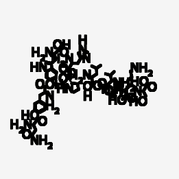 CC(C)C[C@H](N)C(=O)O.CC(C)[C@H](N)C(=O)O.NC(=O)C[C@H](N)C(=O)O.NCCCC[C@H](N)C(=O)O.N[C@@H](CO)C(=O)O.N[C@@H](Cc1c[nH]c2ccccc12)C(=O)O.N[C@@H](Cc1c[nH]cn1)C(=O)OC(=O)[C@@H]1CCCN1.N[C@@H](Cc1ccccc1)C(=O)O